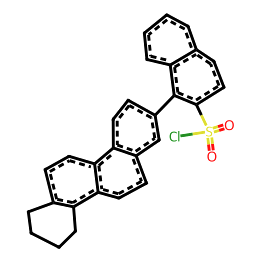 O=S(=O)(Cl)c1ccc2ccccc2c1-c1ccc2c(ccc3c4c(ccc32)CCCC4)c1